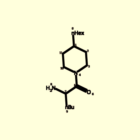 CCCCCCC1CCN(C(=O)C(N)CCCC)CC1